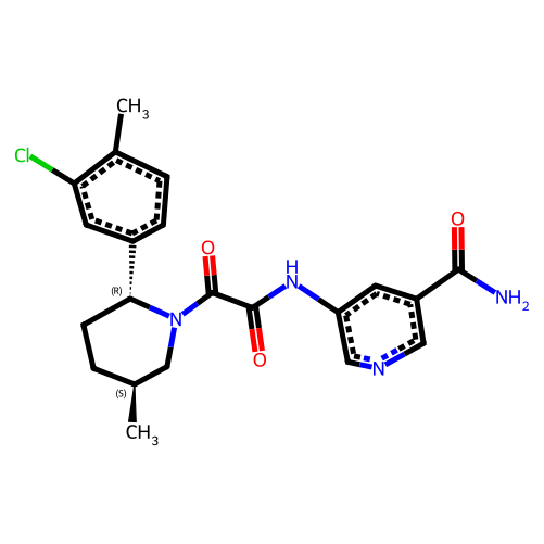 Cc1ccc([C@H]2CC[C@H](C)CN2C(=O)C(=O)Nc2cncc(C(N)=O)c2)cc1Cl